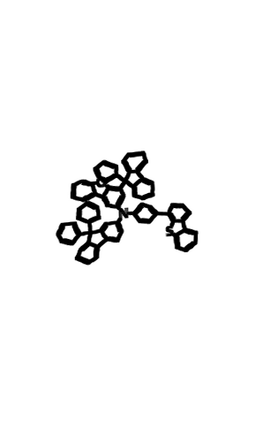 c1ccc(C2(c3ccccc3)c3ccccc3-c3ccc(N(c4ccc(-c5cccc6c5sc5ccccc56)cc4)c4cc(C5(c6ccccc6)c6ccccc6-c6ccccc65)c5oc6ccccc6c5c4)cc32)cc1